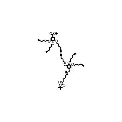 C#CCCCCOc1cc(C(=O)O)cc(OCCCCC#CC#CCCCCOc2cc(C(=O)NCCCCCNC(=O)OC(C)(C)C)cc(OCCCCC#C)c2OCCCCC#C)c1OCCCCC#C